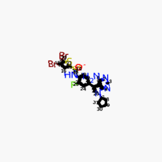 Nc1ncnc2c1c(-c1ccc(N[S+]([O-])c3cc(Br)c(Br)s3)c(F)c1)cn2C1CCCC1